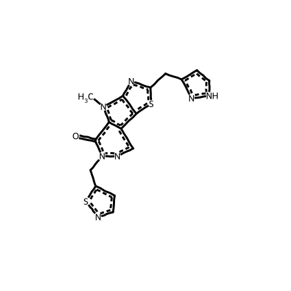 Cn1c2nc(Cc3cc[nH]n3)sc2c2cnn(Cc3ccns3)c(=O)c21